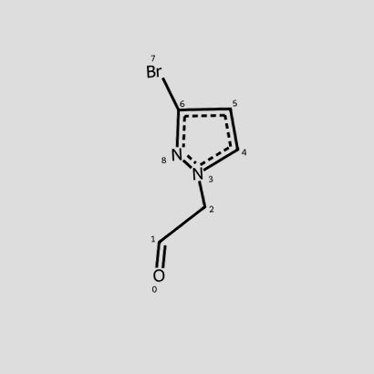 O=CCn1ccc(Br)n1